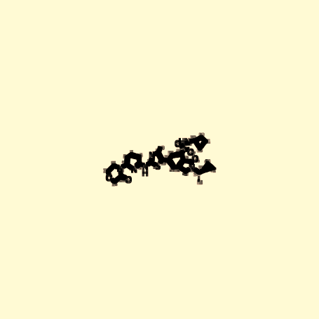 Cc1nc(Nc2cccc(N3CCOCC3=O)n2)sc1-c1cc2c(c(S(=O)(=O)NC3CCC3)c1)C(=O)N([C@@H](C)C1CC1)C2